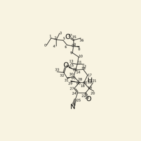 CCC(C)(C)CC[C@@](C)(CCC(C)(C)[C@]1(C)CC[C@H]2C(C)(C)C(=O)C(C#N)=C[C@]2(C)[C@H]1CC(C)=O)C(C)=O